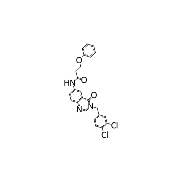 O=C(CCOc1ccccc1)Nc1ccc2ncn(Cc3ccc(Cl)c(Cl)c3)c(=O)c2c1